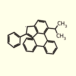 CC(C)c1ccc2c(c1-c1ccccc1-c1ccccc1)C=C(c1ccccc1)[CH]2